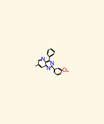 COc1cccc(-c2nc(-c3ccccc3)c3ncc(C)cc3n2)c1